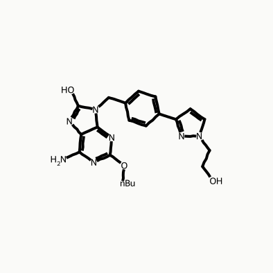 CCCCOc1nc(N)c2nc(O)n(Cc3ccc(-c4ccn(CCO)n4)cc3)c2n1